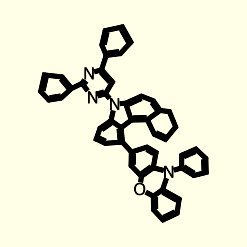 C1=Cc2c(ccc3c2c2c(-c4ccc5c(c4)Oc4ccccc4N5c4ccccc4)cccc2n3-c2cc(-c3ccccc3)nc(-c3ccccc3)n2)CC1